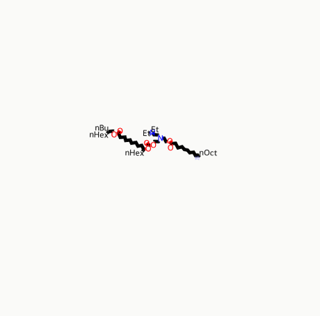 CCCCCCCC/C=C\CCCCCCCC(=O)OCCN(CCOC(=O)OC(CCCCCC)CCCCCCCCC(=O)OCC(CCCC)CCCCCC)CCN(CC)CC